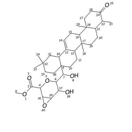 COC(=O)C1OC(C(O)C23CCC4C(=CCC5C4(C)CCC4C(C)C(=O)CCC45C)C2CC(C)(C)CC3)C(O)C2OC12